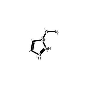 CCO[SiH]1C=C[SiH]=[SiH]1